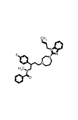 CC=CCn1c(N2CCCN(CCC(CN(C)C(=O)c3ccccc3)c3ccc(F)cc3)CC2)nc2ccccc21